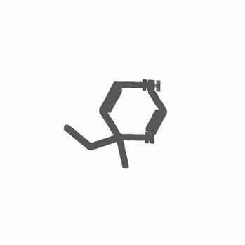 CCC1(C)C=CNC=N1